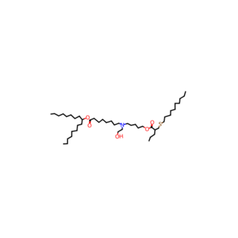 CCCCCCCCCCSCC(CCC)C(=O)OCCCCCN(CCO)CCCCCCCC(=O)OC(CCCCCCCC)CCCCCCCC